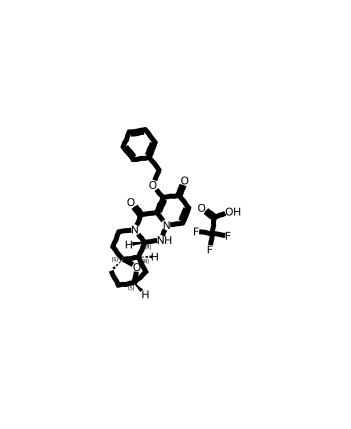 O=C(O)C(F)(F)F.O=C1c2c(OCc3ccccc3)c(=O)ccn2N[C@@H]2[C@H]3C[C@@H]4CC[C@@]3(CCN12)O4